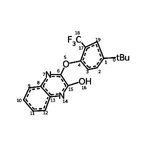 CC(C)(C)c1ccc(Oc2nc3ccccc3nc2O)c(C(F)(F)F)c1